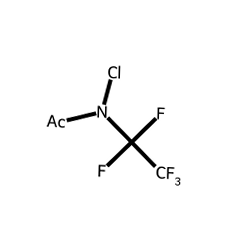 CC(=O)N(Cl)C(F)(F)C(F)(F)F